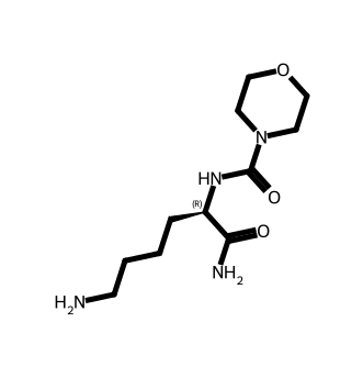 NCCCC[C@@H](NC(=O)N1CCOCC1)C(N)=O